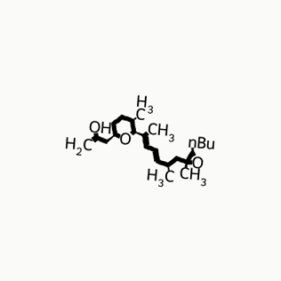 C=C(O)C[C@H]1CC[C@H](C)[C@@H](/C(C)=C/C=C/[C@@H](C)C[C@@]2(C)O[C@@H]2CCCC)O1